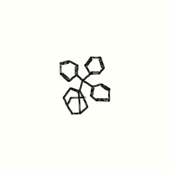 c1ccc(C(c2ccccc2)(c2ccccc2)C2[C]3CC4CC(C3)CC2C4)cc1